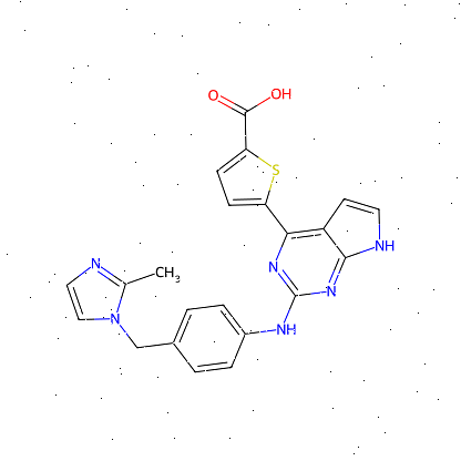 Cc1nccn1Cc1ccc(Nc2nc(-c3ccc(C(=O)O)s3)c3cc[nH]c3n2)cc1